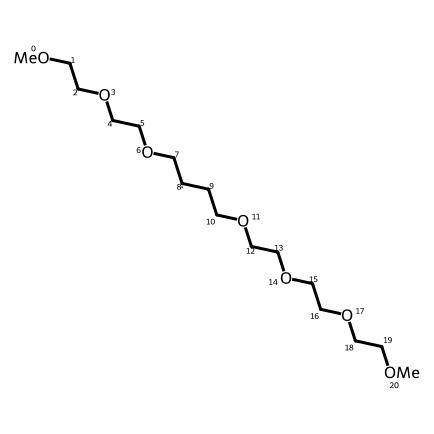 COCCOCCOC[CH]CCOCCOCCOCCOC